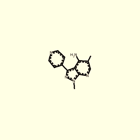 Cc1cnc2c(c(-c3ccncc3)nn2C)c1N